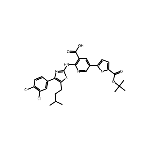 CC(C)CCc1sc(Nc2ncc(-c3ccc(C(=O)OC(C)(C)C)s3)cc2C(=O)O)nc1-c1ccc(Cl)c(Cl)c1